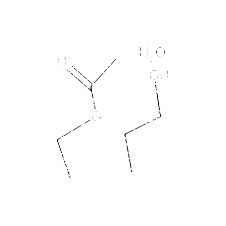 CCCO.CCOC(C)=O.O